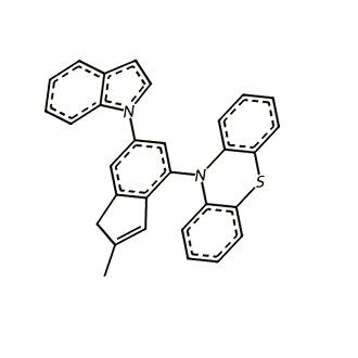 CC1=Cc2c(cc(-n3ccc4ccccc43)cc2N2c3ccccc3Sc3ccccc32)C1